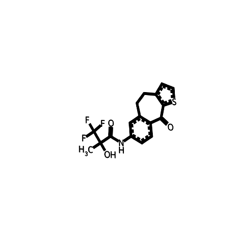 CC(O)(C(=O)Nc1ccc2c(c1)CCc1ccsc1C2=O)C(F)(F)F